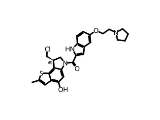 Cc1cc2c(O)cc3c(c2s1)[C@@H](CCl)CN3C(=O)c1cc2cc(OCCN3CCCC3)ccc2[nH]1